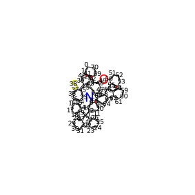 c1ccc(-c2cc(N(c3cccc4c3-c3ccccc3C4(c3ccccc3)c3ccccc3)c3cccc4sc5ccccc5c34)cc3c2Oc2ccccc2C32c3ccccc3-c3ccccc32)cc1